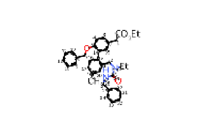 CCOC(=O)Cc1ccc(OCc2ccccc2)c(-c2ccc(C)cc2CN(CC)C(=O)NCc2ccccc2)c1